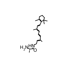 CC(C=CC1=C(C)CCCC1(C)C)=CC=CC(C)=CCNC(=O)[C@@H](C)N